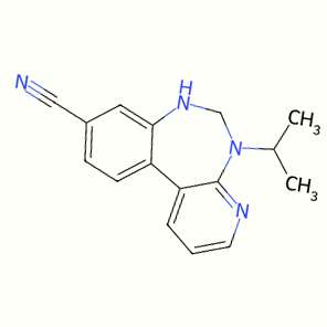 CC(C)N1CNc2cc(C#N)ccc2-c2cccnc21